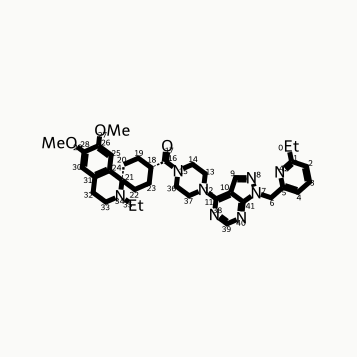 CCc1cccc(Cn2ncc3c(N4CCN(C(=O)[C@H]5CC[C@@]6(CC5)c5cc(OC)c(OC)cc5CCN6CC)CC4)ncnc32)n1